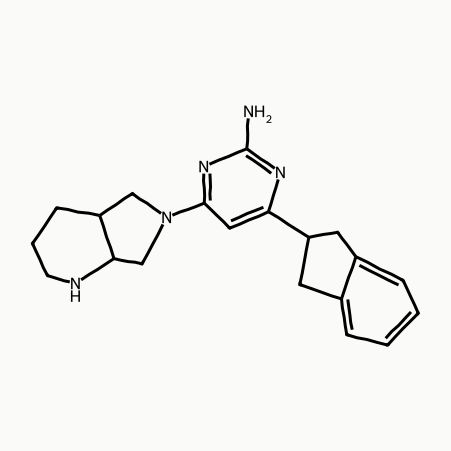 Nc1nc(C2Cc3ccccc3C2)cc(N2CC3CCCNC3C2)n1